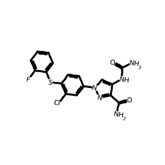 NC(=O)Nc1cn(-c2ccc(Sc3ccccc3F)c(Cl)c2)nc1C(N)=O